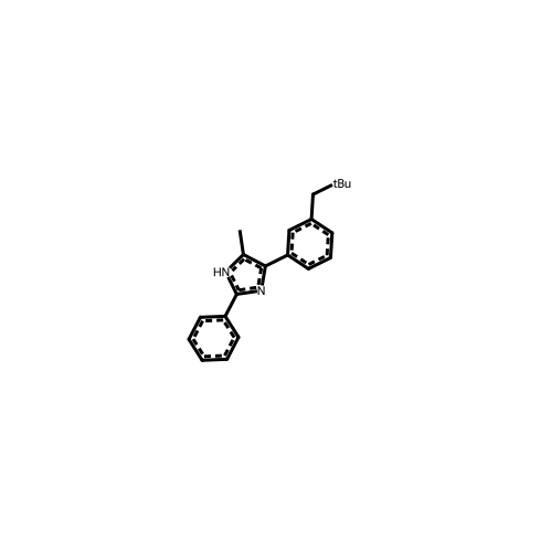 Cc1[nH]c(-c2ccccc2)nc1-c1cccc(CC(C)(C)C)c1